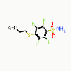 CC(=O)OCCSc1c(F)c(F)c(S(N)(=O)=O)c(F)c1F